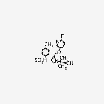 C#CC(C)(C)N1CC[C@H]1COc1ccc(F)nc1.Cc1ccc(S(=O)(=O)O)cc1